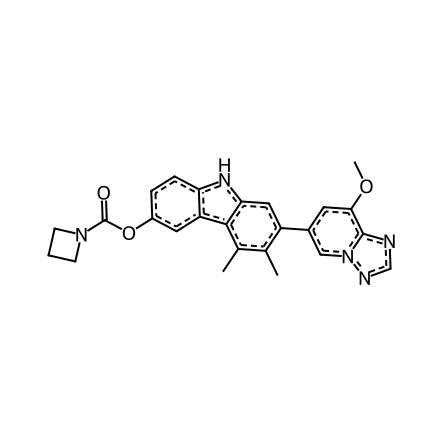 COc1cc(-c2cc3[nH]c4ccc(OC(=O)N5CCC5)cc4c3c(C)c2C)cn2ncnc12